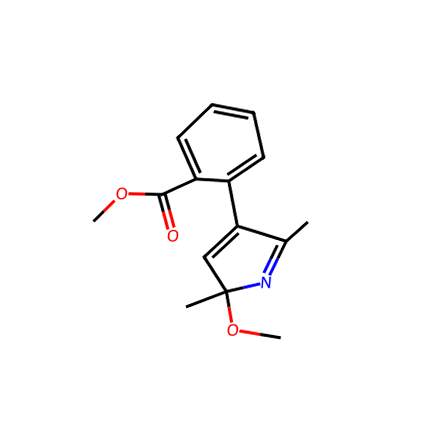 COC(=O)c1ccccc1C1=CC(C)(OC)N=C1C